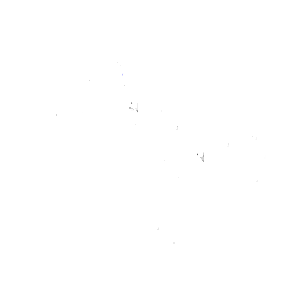 C=C/C=c1\c(=C/C)c2c3sc4ccccc4c3c3ccccc3c2n1-c1ccc(-c2cc(-c3ccccc3)cc(-c3ccccc3)n2)cc1